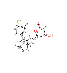 Cc1cc(C2=C(C=CC3CC(O)CC(=O)O3)C3(C)CCC(C)(C2)C3)ccc1F